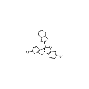 Clc1ccc2c(c1)CC1c3ccc(Br)cc3OC(c3cc4ccccc4s3)N21